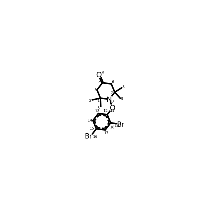 CC1(C)CC(=O)CC(C)(C)N1Oc1ccc(Br)cc1Br